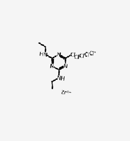 CCNc1nc(Cl)nc(NCC)n1.[Cl-].[Cl-].[Cl-].[Cl-].[Zr+4]